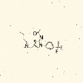 CCCCN(C)Cc1cn(-c2ccc(C(F)(F)F)cc2)c(=NC(C)=O)s1